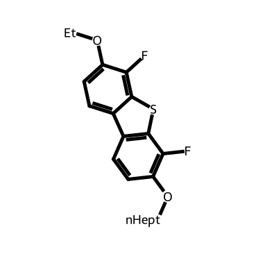 CCCCCCCOc1ccc2c(sc3c(F)c(OCC)ccc32)c1F